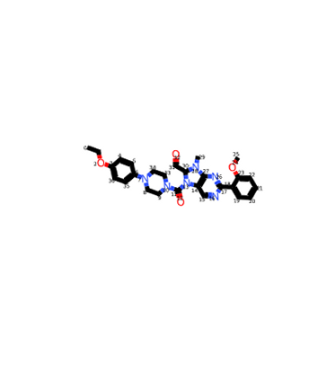 CCOc1ccc(N2CCN(C(=O)N3c4cnc(-c5ccccc5OC)nc4N(C)C3C=O)CC2)cc1